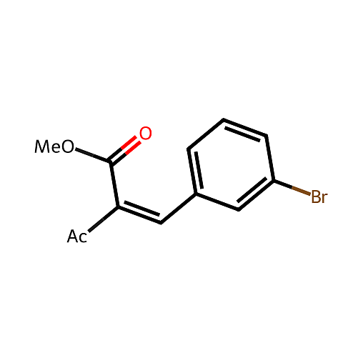 COC(=O)C(=Cc1cccc(Br)c1)C(C)=O